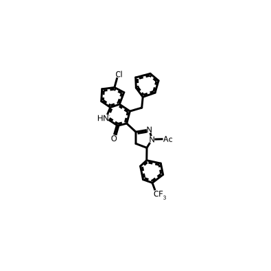 CC(=O)N1N=C(c2c(Cc3ccccc3)c3cc(Cl)ccc3[nH]c2=O)CC1c1ccc(C(F)(F)F)cc1